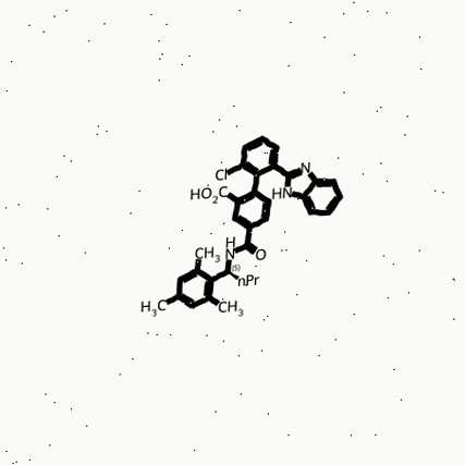 CCC[C@H](NC(=O)c1ccc(-c2c(Cl)cccc2-c2nc3ccccc3[nH]2)c(C(=O)O)c1)c1c(C)cc(C)cc1C